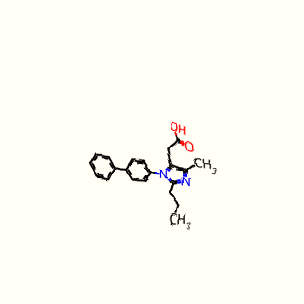 CCCc1nc(C)c(CC(=O)O)n1-c1ccc(-c2ccccc2)cc1